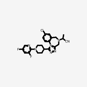 CC(C#N)N1Cc2cc(Cl)ccc2-n2c(nnc2C2CCN(c3ncc(F)cc3F)CC2)C1